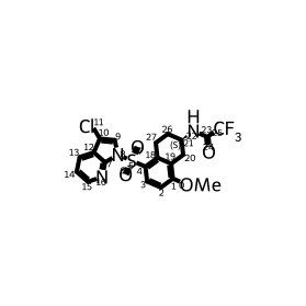 COc1ccc(S(=O)(=O)n2cc(Cl)c3cccnc32)c2c1C[C@@H](NC(=O)C(F)(F)F)CC2